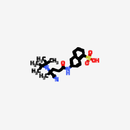 CC(C#N)(CCC(=O)Nc1ccc2c(S(=O)(=O)O)cccc2c1)N1C(C)(C)C1(C)C